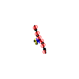 C=CC(=O)Cc1ccc(CCC(=O)O[C@H]2CC[C@H](C(=O)Oc3ccc(OC(=O)[C@H]4CC[C@H](OC(=O)CCc5ccc(OC(=O)C=C)cc5)CC4)c4nc(-c5cccs5)c(-c5cccs5)nc34)CC2)cc1